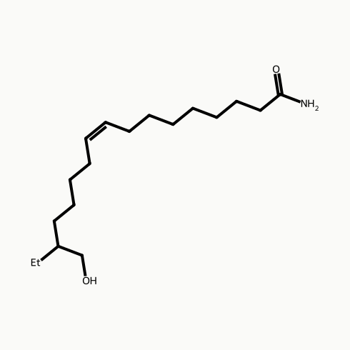 CCC(CO)CCCC/C=C\CCCCCCCC(N)=O